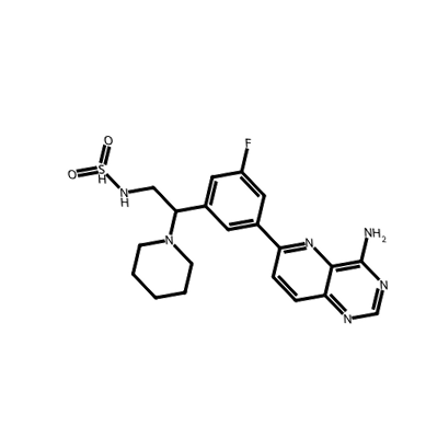 Nc1ncnc2ccc(-c3cc(F)cc(C(CN[SH](=O)=O)N4CCCCC4)c3)nc12